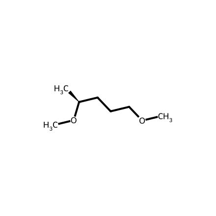 COCCC[C@H](C)OC